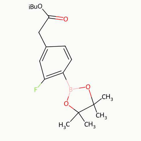 CC(C)COC(=O)Cc1ccc(B2OC(C)(C)C(C)(C)O2)c(F)c1